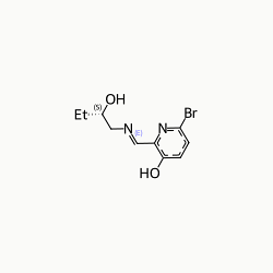 CC[C@H](O)C/N=C/c1nc(Br)ccc1O